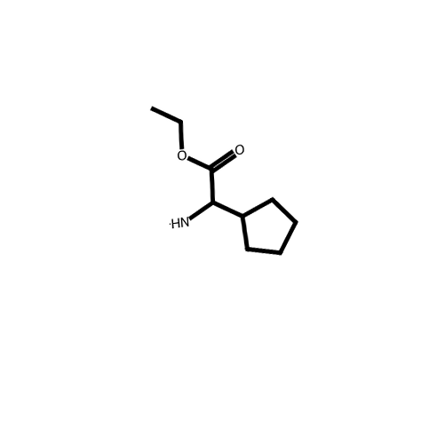 CCOC(=O)C([NH])C1CCCC1